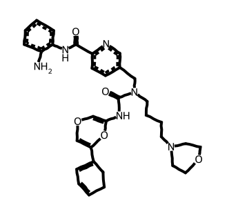 Nc1ccccc1NC(=O)c1ccc(CN(CCCCN2CCOCC2)C(=O)NC2=COC=C(C3=CC=CCC3)O2)cn1